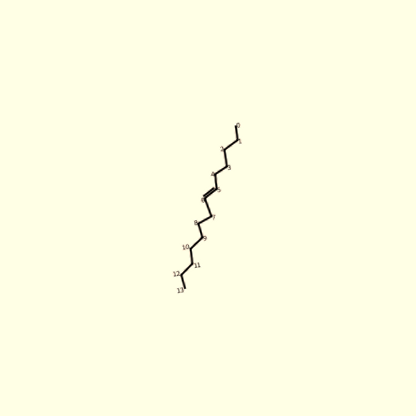 CCCCCC=CCCCCCCC